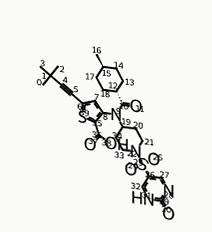 CC(C)(C)C#Cc1cc(N(C(=O)[C@H]2CC[C@H](C)CC2)C2CCN(S(=O)(=O)c3cnc(=O)[nH]c3)CC2)c(C(=O)O)s1